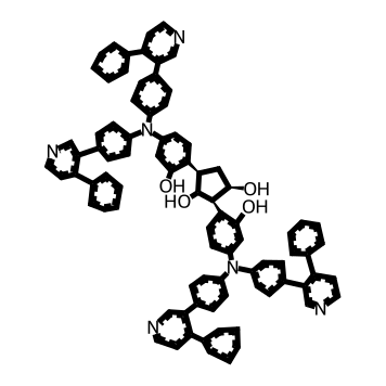 Oc1cc(N(c2ccc(-c3cnccc3-c3ccccc3)cc2)c2ccc(-c3cnccc3-c3ccccc3)cc2)ccc1[C@H]1C[C@@H](O)[C@@H](c2ccc(N(c3ccc(-c4cnccc4-c4ccccc4)cc3)c3ccc(-c4cnccc4-c4ccccc4)cc3)cc2O)C1O